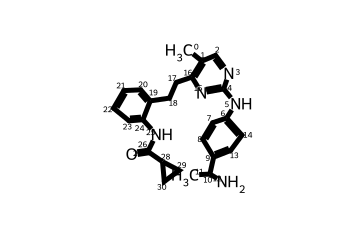 Cc1cnc(Nc2ccc(C(C)N)cc2)nc1CCc1ccccc1NC(=O)C1CC1